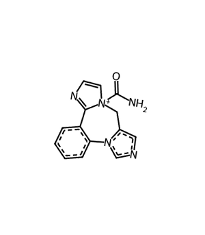 NC(=O)[N+]12C=CN=C1c1ccccc1-n1cncc1C2